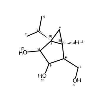 CC(C)[C@]12C[C@H]1C(CO)C(O)C2O